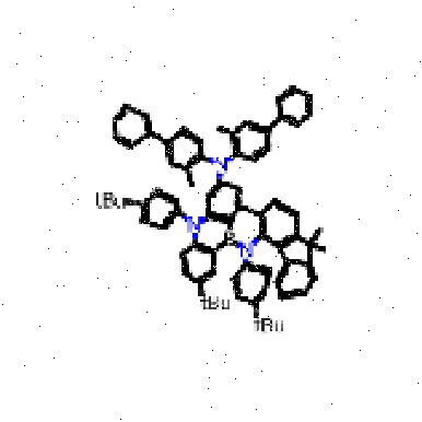 Cc1cc(-c2ccccc2)ccc1N(c1cc2c3c(c1)N(c1ccc(C(C)(C)C)cc1)c1ccc(C(C)(C)C)cc1B3N(c1ccc(C(C)(C)C)cc1)c1c-2ccc2c1-c1ccccc1C2(C)C)c1ccc(-c2ccccc2)cc1C